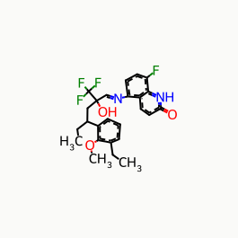 CCc1cccc(C(CC)CC(O)(C=Nc2ccc(F)c3[nH]c(=O)ccc23)C(F)(F)F)c1OC